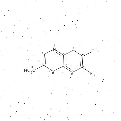 O=C(O)C1=CN=C2CC(F)=C(F)C=C2C1